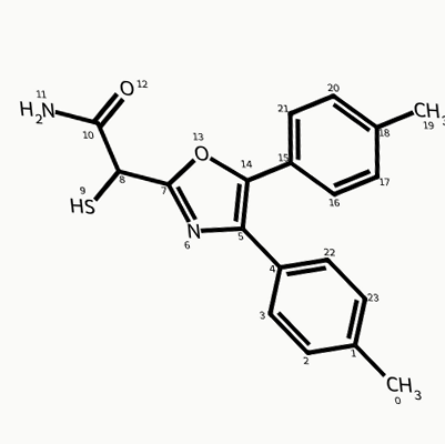 Cc1ccc(-c2nc(C(S)C(N)=O)oc2-c2ccc(C)cc2)cc1